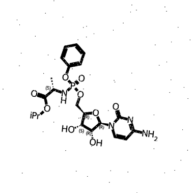 CC(C)OC(=O)[C@H](C)NP(=O)(OC[C@H]1O[C@@H](n2ccc(N)nc2=O)[C@H](O)[C@@H]1O)Oc1ccccc1